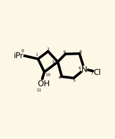 CC(C)C1CC2(CCN(Cl)CC2)C1O